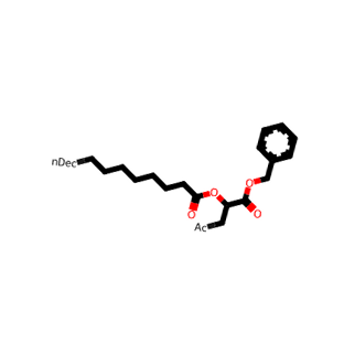 CCCCCCCCCCCCCCCCCC(=O)OC(CC(C)=O)C(=O)OCc1ccccc1